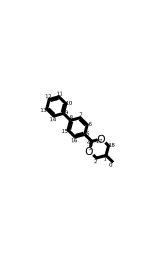 CC1COC(c2ccc(-c3ccccc3)cc2)OC1